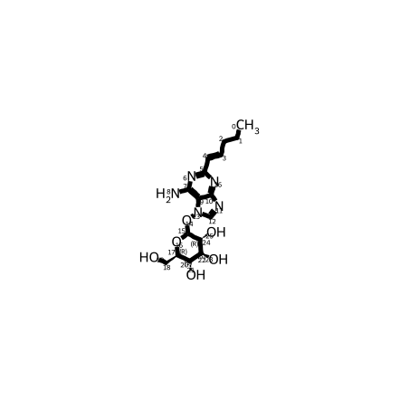 CCCC=Cc1nc(N)c2c(ncn2OC2O[C@H](CO)[C@@H](O)[C@H](O)[C@H]2O)n1